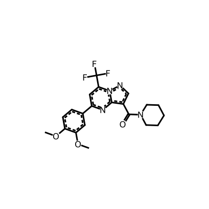 COc1ccc(-c2cc(C(F)(F)F)n3ncc(C(=O)N4CCCCC4)c3n2)cc1OC